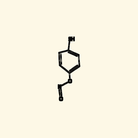 O=NOc1ccc(S)cc1